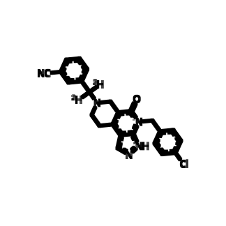 [2H]C([2H])(c1cccc(C#N)c1)N1CCc2c(c(=O)n(Cc3ccc(Cl)cc3)c3[nH]ncc23)C1